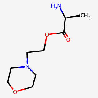 C[C@H](N)C(=O)OCCN1CCOCC1